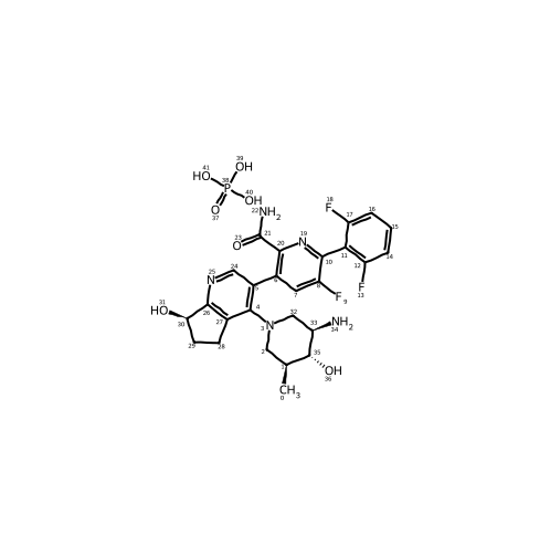 C[C@H]1CN(c2c(-c3cc(F)c(-c4c(F)cccc4F)nc3C(N)=O)cnc3c2CC[C@H]3O)C[C@@H](N)[C@@H]1O.O=P(O)(O)O